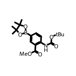 COC(=O)c1cc(B2OC(C)(C)C(C)(C)O2)ccc1NC(=O)OC(C)(C)C